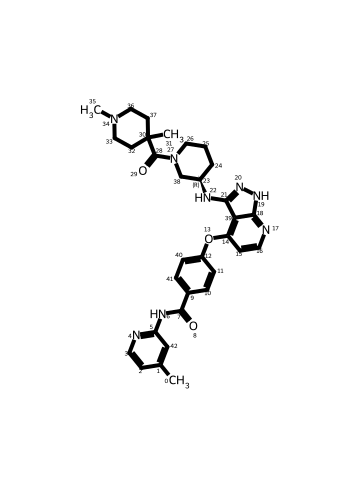 Cc1ccnc(NC(=O)c2ccc(Oc3ccnc4[nH]nc(N[C@@H]5CCCN(C(=O)C6(C)CCN(C)CC6)C5)c34)cc2)c1